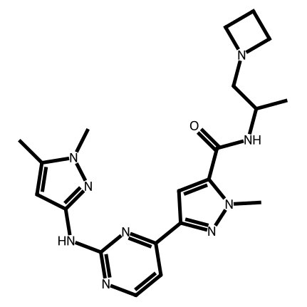 Cc1cc(Nc2nccc(-c3cc(C(=O)NC(C)CN4CCC4)n(C)n3)n2)nn1C